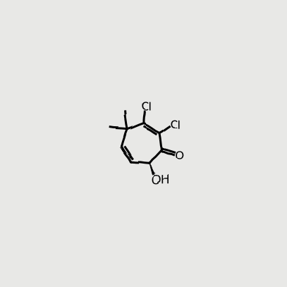 CC1(C)C=C[C@H](O)C(=O)C(Cl)=C1Cl